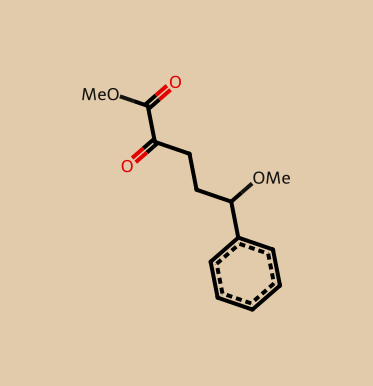 COC(=O)C(=O)CCC(OC)c1ccccc1